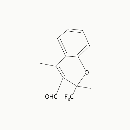 CC1=C(C=O)C(C)(C(F)(F)F)Oc2ccccc21